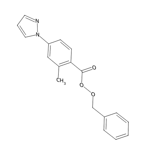 Cc1cc(-n2cccn2)ccc1C(=O)OOCc1ccccc1